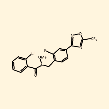 CON(Cc1ccc(-c2noc(C(F)(F)F)n2)cc1F)C(=O)c1ccccc1Cl